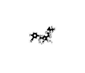 Cc1c(C(=O)C(=O)NC2(C(F)(F)F)CC2)cc(C(=O)Nc2ccc(F)c(C#N)c2)n1C